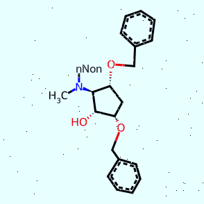 CCCCCCCCCN(C)[C@@H]1[C@@H](O)[C@@H](OCc2ccccc2)C[C@H]1OCc1ccccc1